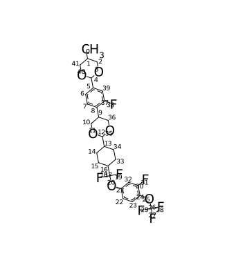 CC1COC(c2ccc(C3COC(C4CCC(C(F)(F)Oc5ccc(OC(F)(F)F)c(F)c5)CC4)OC3)c(F)c2)OC1